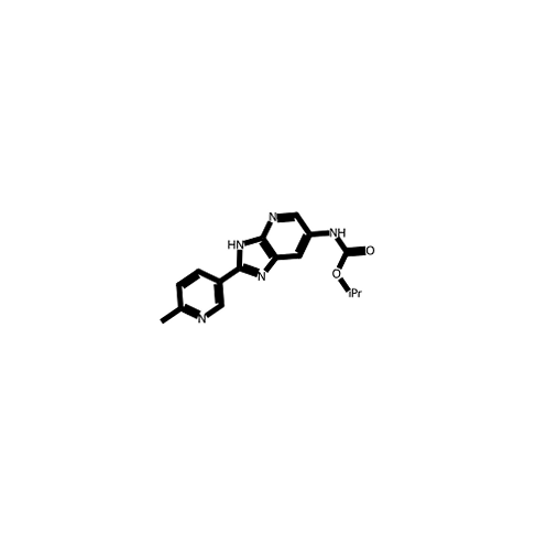 Cc1ccc(-c2nc3cc(NC(=O)OC(C)C)cnc3[nH]2)cn1